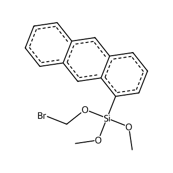 CO[Si](OC)(OCBr)c1cccc2cc3ccccc3cc12